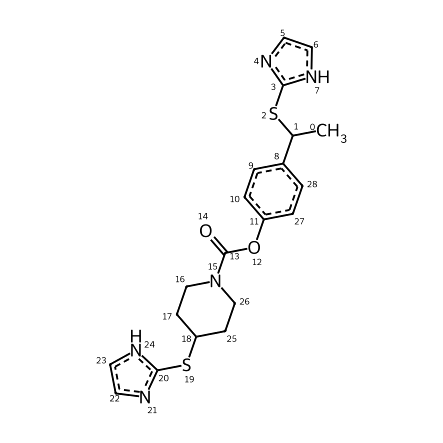 CC(Sc1ncc[nH]1)c1ccc(OC(=O)N2CCC(Sc3ncc[nH]3)CC2)cc1